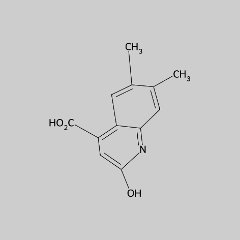 Cc1cc2nc(O)cc(C(=O)O)c2cc1C